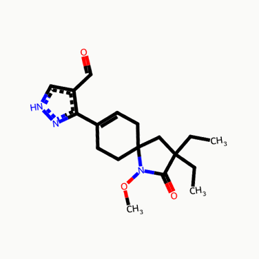 CCC1(CC)CC2(CC=C(c3n[nH]cc3C=O)CC2)N(OC)C1=O